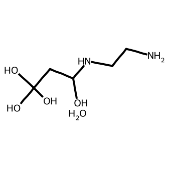 NCCNC(O)CC(O)(O)O.O